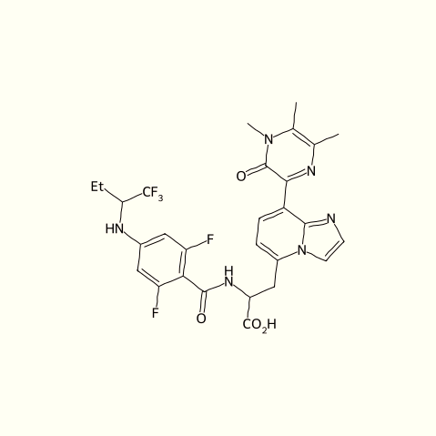 CCC(Nc1cc(F)c(C(=O)NC(Cc2ccc(-c3nc(C)c(C)n(C)c3=O)c3nccn23)C(=O)O)c(F)c1)C(F)(F)F